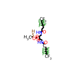 CC(S)OC1OC(CNC(=O)CCC(F)(F)C(F)(F)C(F)(F)C(F)(F)F)C(CNC(=O)CCC(F)(F)C(F)(F)C(F)(F)C(F)(F)F)O1